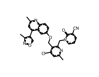 Cc1cc(Cl)c(COc2ccc3nc(C)cc(-c4conc4C)c3c2)c(Cn2cccc(C#N)c2=O)n1